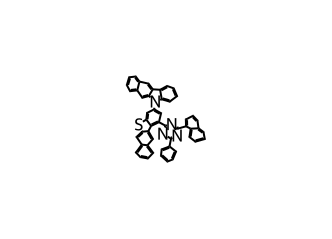 c1ccc(-c2nc(-c3cccc4ccccc34)nc(-c3cc(-n4c5ccccc5c5cc6ccccc6cc54)cc4sc5cc6ccccc6cc5c34)n2)cc1